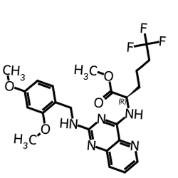 COC(=O)[C@@H](CCCC(F)(F)F)Nc1nc(NCc2ccc(OC)cc2OC)nc2cccnc12